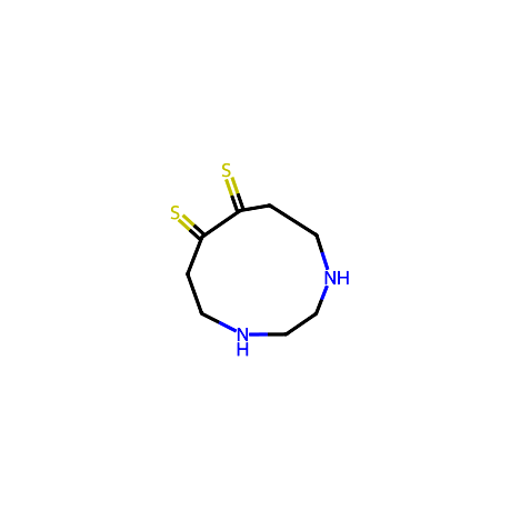 S=C1CCNCCNCCC1=S